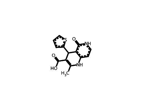 CC1=C(C(=O)O)C(c2cccs2)c2c(cc[nH]c2=O)N1